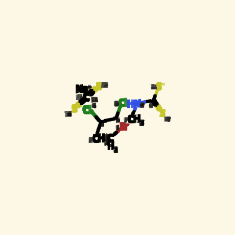 CBr.CC(Cl)CCl.CNC(=S)[S-].S=C=S.[Na+]